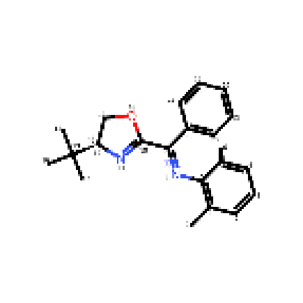 Cc1cccc(C)c1/N=C(/C1=N[C@@H](C(C)(C)C)CO1)c1ccccc1